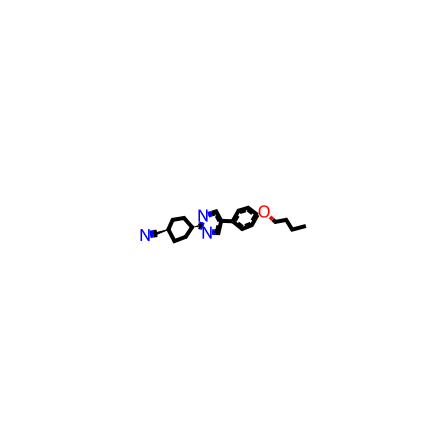 CCCCOc1ccc(-c2cnc([C@H]3CC[C@H](C#N)CC3)nc2)cc1